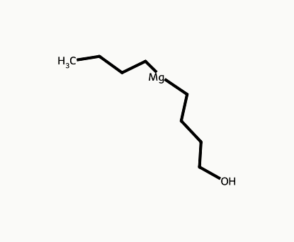 CCC[CH2][Mg][CH2]CCCO